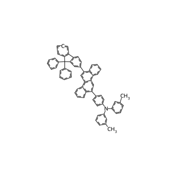 Cc1cccc(N(c2ccc(-c3cc4c5ccccc5c(-c5ccc6c(c5)C(c5ccccc5)(c5ccccc5)c5ccccc5-6)cc4c4ccccc34)cc2)c2cccc(C)c2)c1